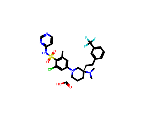 Cc1cc(N2CCC[C@@](CCc3cccc(C(F)(F)F)c3)(N(C)C)C2)cc(Cl)c1S(=O)(=O)Nc1ccncn1.O=CO